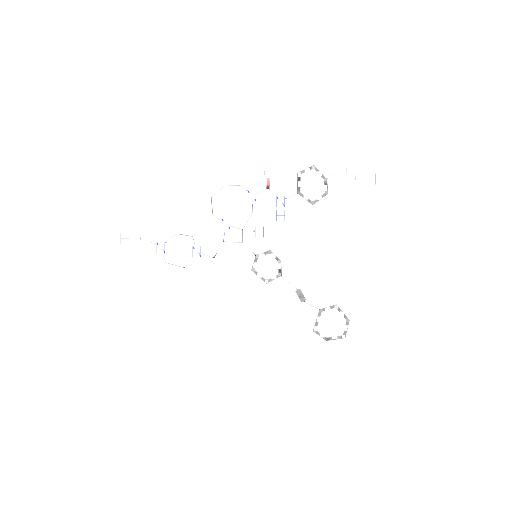 COc1ccc(NC(=O)N2CCCCN3[C@H](CN4CCN(C)CC4)[C@H](c4ccc(C#Cc5ccccc5)cc4)[C@@H]3C2)cc1